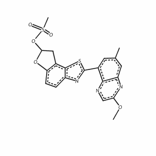 COc1cnc2c(-c3nc4ccc5c(c4s3)CC(OS(C)(=O)=O)O5)cc(C)cc2n1